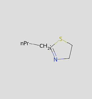 [CH2]CCC.[C]1=NCCS1